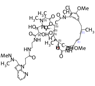 CNN(C)Cc1cc2cccnc2n1CCC(=O)NCCNC(=O)[C@H](O)[C@H](O)C(=O)N(C)[C@@H](C)C(=O)O[C@H]1CC(=O)N(C)c2cc(cc(OC)c2Cl)C/C(C)=C/C=C/[C@@H](OC)[C@@]2(O)C[C@H](OC(=O)N2)[C@@H](C)[C@@H]2O[C@@]12C